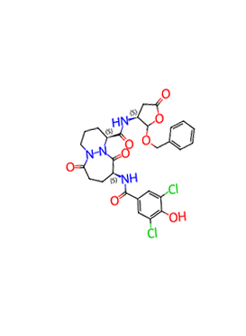 O=C1C[C@H](NC(=O)[C@@H]2CCCN3C(=O)CC[C@H](NC(=O)c4cc(Cl)c(O)c(Cl)c4)C(=O)N23)C(OCc2ccccc2)O1